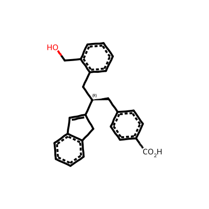 O=C(O)c1ccc(C[C@H](Cc2ccccc2CO)C2=Cc3ccccc3C2)cc1